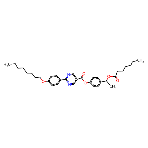 CCCCCCCCOc1ccc(-c2ncc(C(=O)Oc3ccc(C(C)OC(=O)CCCCCC)cc3)cn2)cc1